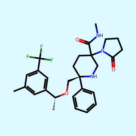 CNC(=O)C1(N2CCCC2=O)CC[C@@](CO[C@H](C)c2cc(C)cc(C(F)(F)F)c2)(c2ccccc2)NC1